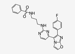 O=S(=O)(NCCCNc1nccc(-c2c(-c3ccc(F)cc3)nc3occn23)n1)c1ccccc1